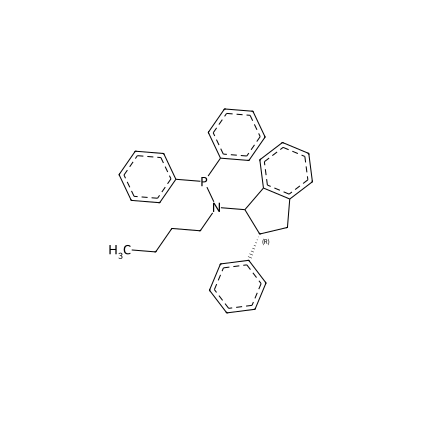 CCCCN(C1c2ccccc2C[C@@H]1c1ccccc1)P(c1ccccc1)c1ccccc1